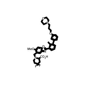 COc1cc2oc(-c3cccc(-c4cccc(OCCCN5CCOCC5)c4)c3C)nc2cc1CN1CCC(F)(F)CC1C(=O)O